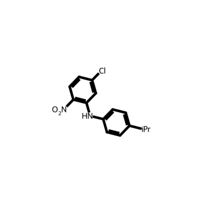 CC(C)c1ccc(Nc2cc(Cl)ccc2[N+](=O)[O-])cc1